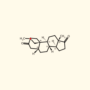 CSC[C@]12CCC(=O)C[C@H]1CC[C@@H]1[C@@H]2CC[C@]2(C)C(=O)CC[C@@H]12